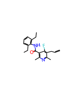 C=CCc1c(C)nc(C)c(C(=O)Nc2c(CC)cccc2CC)c1F